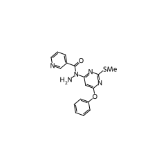 CSc1nc(Oc2ccccc2)cc(N(N)C(=O)c2cccnc2)n1